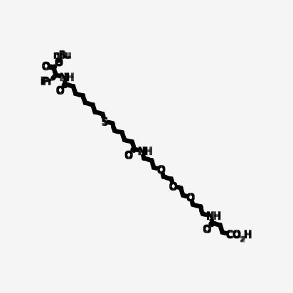 CCCCOC(=O)C(NC(=O)CCCCCCCSCCCCCC(=O)NCCCOCCOCCOCCCNC(=O)CCC(=O)O)C(C)C